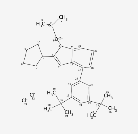 C[Si](C)[Zr+2][CH]1C(C2CCCC2)=Cc2c(-c3cc(C(C)(C)C)cc(C(C)(C)C)c3)cccc21.[Cl-].[Cl-]